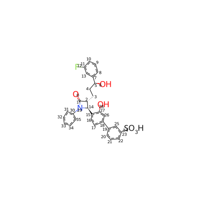 O=C1[C@H](CC[C@H](O)c2cccc(F)c2)[C@@H](c2ccc(-c3cccc(S(=O)(=O)O)c3)cc2O)N1c1ccccc1